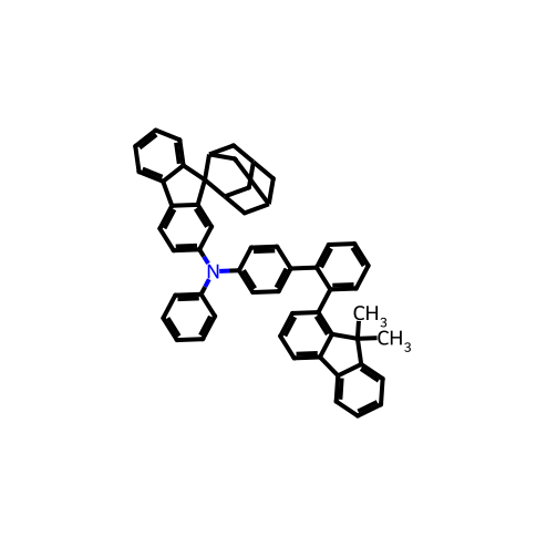 CC1(C)c2ccccc2-c2cccc(-c3ccccc3-c3ccc(N(c4ccccc4)c4ccc5c(c4)C4(c6ccccc6-5)C5CC6CC(C5)CC4C6)cc3)c21